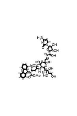 COC(=O)N(NCC(=O)NC1[C@H]([C@@H](O)[C@H](O)[C@@H](O)CO)O[C@](O)(CO[PH](=O)C(O)[C@H]2O[C@@H](n3ccc(N)nc3=O)[C@H](O)[C@@H]2O)C[C@]1(O)C(=O)O)C1c2ccccc2-c2ccccc21